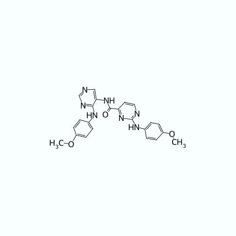 COc1ccc(Nc2nccc(C(=O)Nc3cncnc3Nc3ccc(OC)cc3)n2)cc1